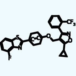 Fc1cccc2sc(C34CCC(OCc5c(-c6ccccc6C(F)(F)F)noc5C5CC5)(CC3)CC4)nc12